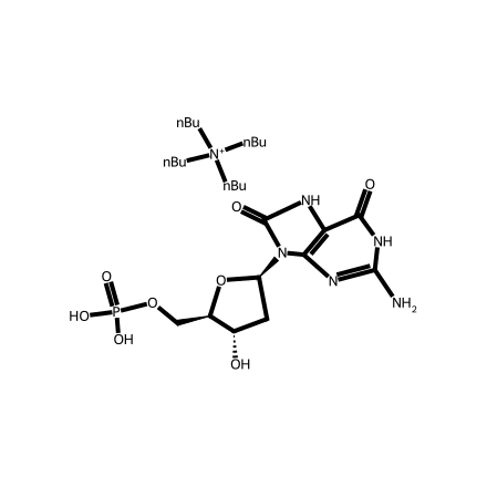 CCCC[N+](CCCC)(CCCC)CCCC.Nc1nc2c([nH]c(=O)n2[C@H]2C[C@H](O)[C@@H](COP(=O)(O)O)O2)c(=O)[nH]1